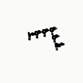 [Ir+4].[O-2].[O-2].[O-2].[O-2].[Sn+4]